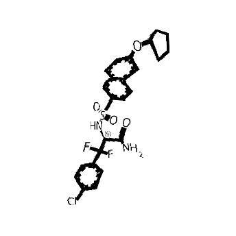 NC(=O)[C@H](NS(=O)(=O)c1ccc2cc(OC3CCCC3)ccc2c1)C(F)(F)c1ccc(Cl)cc1